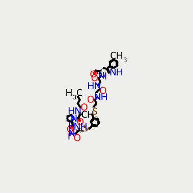 CCCCC(=O)N[C@@H](C)C(=O)N1CCCC1C(=O)N[C@@H](CSCc1cccc(CSCCC(=O)NCC(=O)NCC(=O)N(I)[C@H](C=O)Cc2c[nH]c3ccc(C)cc23)c1)C(=O)NI